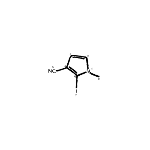 Cn1ccc(C#N)c1I